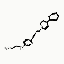 CCCNc1ccc(C#CCCN2C=CC(C3=CCC=CC3)=CC2)nc1